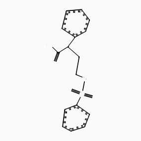 O=C(O)C(CCNS(=O)(=O)c1ccccc1)c1ccccc1